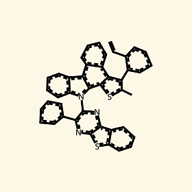 C=Cc1ccccc1-c1c(C)sc2c1c1ccccc1c1c3ccccc3n(-c3nc4c(nc3-c3ccccc3)sc3ccccc34)c21